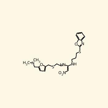 CN(C)Cc1ccc(CSCCNC(=C[N+](=O)[O-])NCCCSc2nc3ccccc3o2)o1